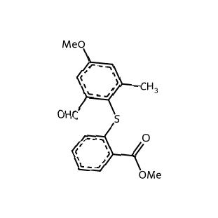 COC(=O)c1ccccc1Sc1c(C)cc(OC)cc1C=O